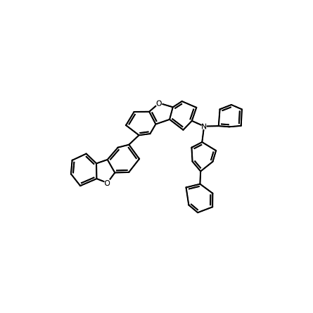 c1ccc(-c2ccc(N(c3ccccc3)c3ccc4oc5ccc(-c6ccc7oc8ccccc8c7c6)cc5c4c3)cc2)cc1